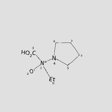 CC[N+]([O-])(C(=O)O)N1CCCC1